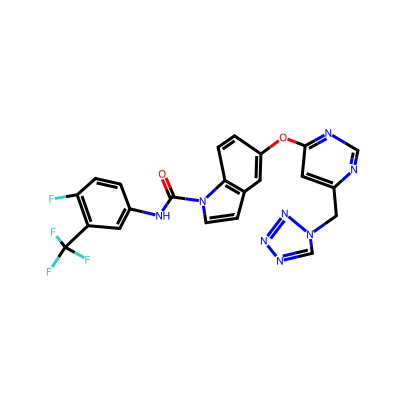 O=C(Nc1ccc(F)c(C(F)(F)F)c1)n1ccc2cc(Oc3cc(Cn4cnnn4)ncn3)ccc21